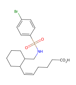 O=C(O)CCC/C=C\C1CCCCC1CNS(=O)(=O)c1ccc(Br)cc1